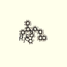 CC1(C)c2ccccc2-c2ccc(N(c3cccc(-c4cccc(-c5cccc6ccccc56)c4)c3)c3cc(-c4ccccc4)cc(-c4ccccc4)c3)cc21